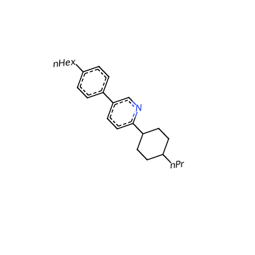 CCCCCCc1ccc(-c2ccc(C3CCC(CCC)CC3)nc2)cc1